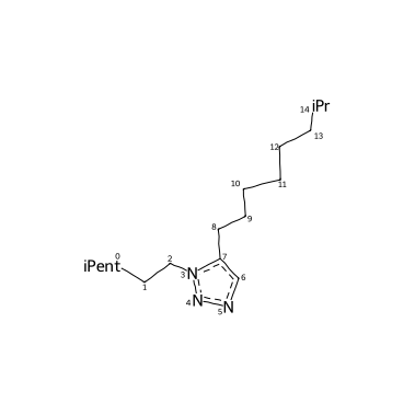 CCCC(C)CCn1nncc1CCCCCCC(C)C